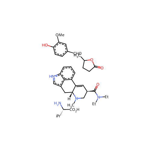 CC(C)[C@H](N)C(=O)O.CC1CCC(=O)O1.CCN(CC)C(=O)[C@@H]1C=C2c3cccc4[nH]cc(c34)C[C@H]2N(C)C1.COc1cc(C=O)ccc1O